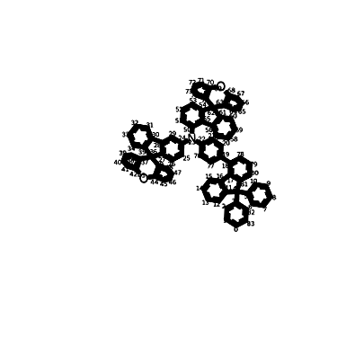 c1ccc(C2(c3ccccc3)c3ccccc3-c3c(-c4ccc(N(c5ccc6c(c5)-c5ccccc5C65c6ccccc6Oc6ccccc65)c5cccc6c5-c5ccccc5C65c6ccccc6Oc6ccccc65)cc4)cccc32)cc1